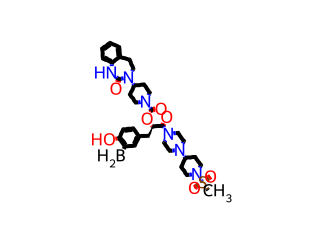 Bc1cc(C[C@@H](OC(=O)N2CCC(N3CCc4ccccc4NC3=O)CC2)C(=O)N2CCN(C3CCN(S(C)(=O)=O)CC3)CC2)ccc1O